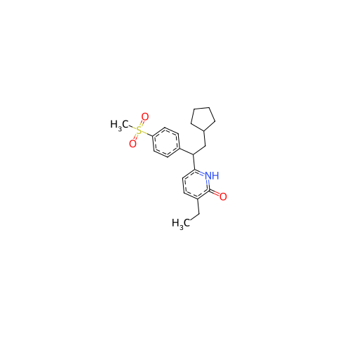 CCc1ccc(C(CC2CCCC2)c2ccc(S(C)(=O)=O)cc2)[nH]c1=O